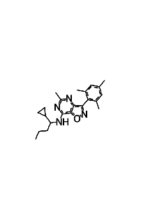 CCCC(Nc1nc(C)nc2c(-c3c(C)cc(C)cc3C)noc12)C1CC1